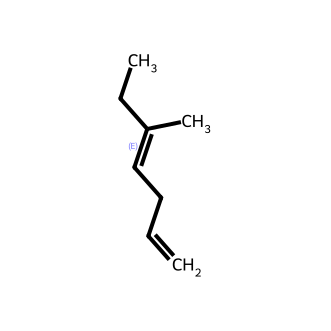 C=CC/C=C(\C)CC